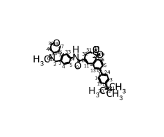 CN(Cc1ccc(NC(=O)C2=Cc3cc(-c4ccc(C(C)(C)C)cc4)ccc3S(=O)(=O)CC2)cc1)C1CCOCC1